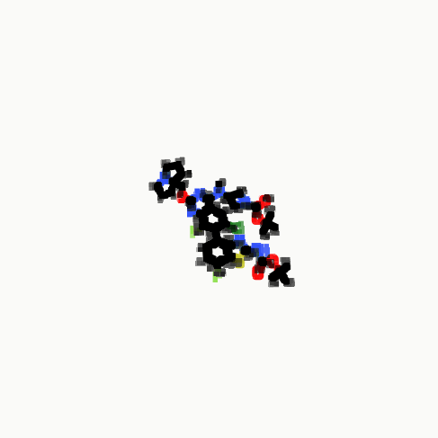 CN(c1nc(OCC23CCCN2CCC3)nc2c(F)c(-c3ccc(F)c4sc(NC(=O)OC(C)(C)C)nc34)c(Cl)cc12)C1CN(C(=O)OC(C)(C)C)C1